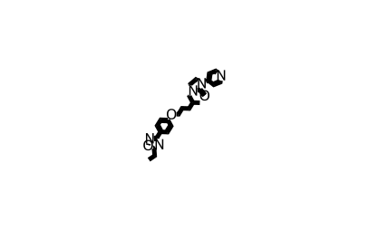 CCc1nc(-c2ccc(OCCCC(C)CN3CCN(c4ccncc4)C3=O)cc2)no1